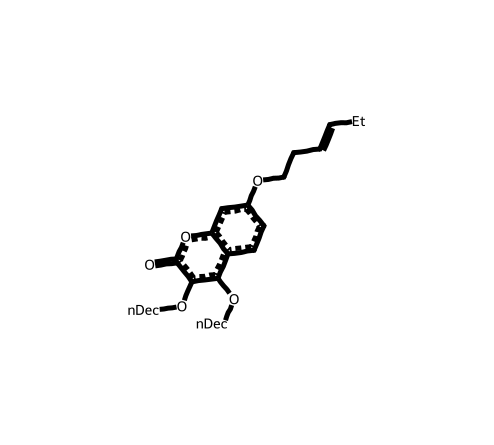 CCC=CCCOc1ccc2c(OCCCCCCCCCC)c(OCCCCCCCCCC)c(=O)oc2c1